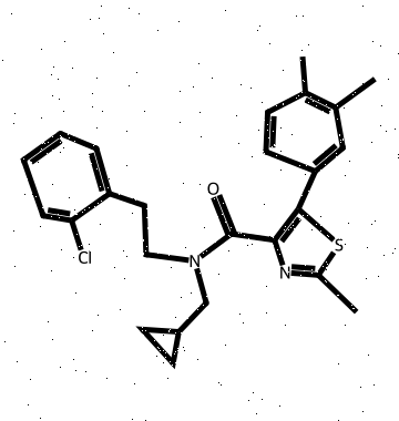 Cc1nc(C(=O)N(CCc2ccccc2Cl)CC2CC2)c(-c2ccc(C)c(C)c2)s1